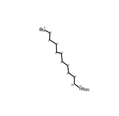 [CH2]CC(C)CCCCCCCCCCCCCCCCCCC